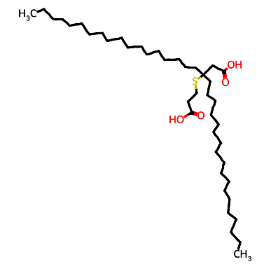 CCCCCCCCCCCCCCCCCCC(CCCCCCCCCCCCCCCCCC)(CC(=O)O)SCCC(=O)O